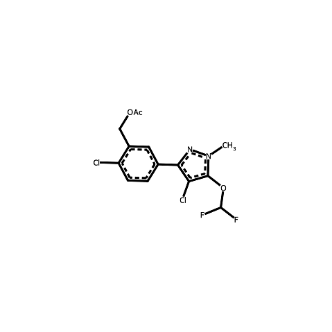 CC(=O)OCc1cc(-c2nn(C)c(OC(F)F)c2Cl)ccc1Cl